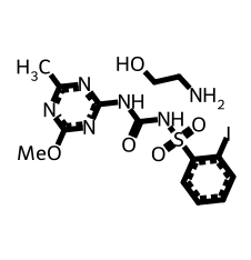 COc1nc(C)nc(NC(=O)NS(=O)(=O)c2ccccc2I)n1.NCCO